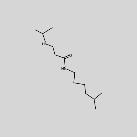 CC(C)CCCCNC(=O)CCNC(C)C